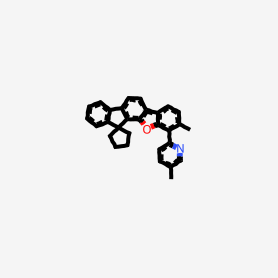 Cc1ccc(-c2c(C)ccc3c2oc2c4c(ccc23)-c2ccccc2C42CCCC2)nc1